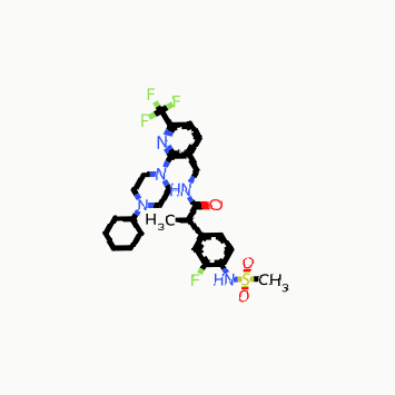 CC(C(=O)NCc1ccc(C(F)(F)F)nc1N1CCN(C2CCCCC2)CC1)c1ccc(NS(C)(=O)=O)c(F)c1